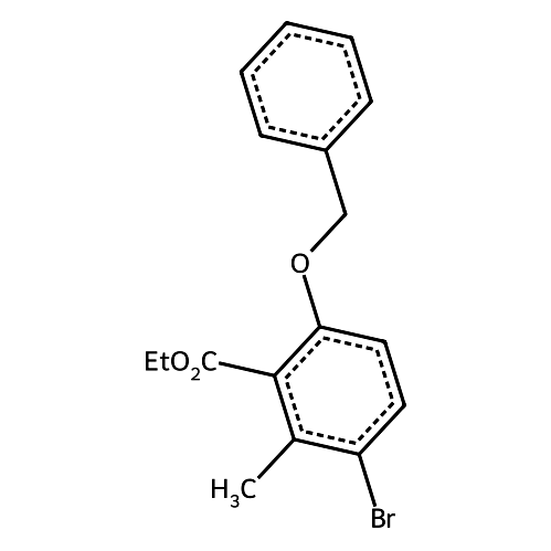 CCOC(=O)c1c(OCc2ccccc2)ccc(Br)c1C